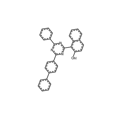 Oc1ccc2ccccc2c1-c1nc(-c2ccccc2)nc(-c2ccc(-c3ccccc3)cc2)n1